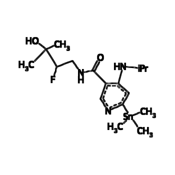 CC(C)Nc1c[c]([Sn]([CH3])([CH3])[CH3])ncc1C(=O)NCC(F)C(C)(C)O